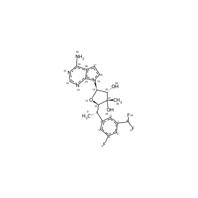 C[C@@H](c1cc(F)cc(C(F)F)c1)[C@H]1O[C@@H](n2ccc3c(N)ncnc32)[C@H](O)[C@]1(C)O